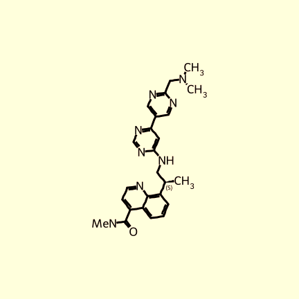 CNC(=O)c1ccnc2c([C@H](C)CNc3cc(-c4cnc(CN(C)C)nc4)ncn3)cccc12